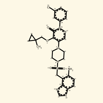 CC1(COc2c(N3CCN(S(=O)(=O)Cc4c(N)ccc5scnc45)CC3)cnn(-c3cccc(Cl)c3)c2=O)CC1